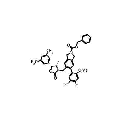 COc1cc(F)c(C(C)C)cc1-c1cc2c(cc1CN1C(=O)O[C@H](c3cc(C(F)(F)F)cc(C(F)(F)F)c3)[C@@H]1C)CN(C(=O)OCc1ccccc1)C2